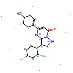 N#CC1CC=C(C2=CC(=O)N3NCC(C4CCC(F)CC4F)C3N2)CC1